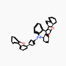 c1ccc(N(c2ccc(-c3cccc4c3oc3ccccc34)cc2)c2ccccc2-c2cccc3oc4c5ccccc5ccc4c23)cc1